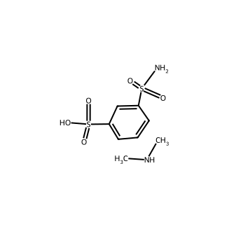 CNC.NS(=O)(=O)c1cccc(S(=O)(=O)O)c1